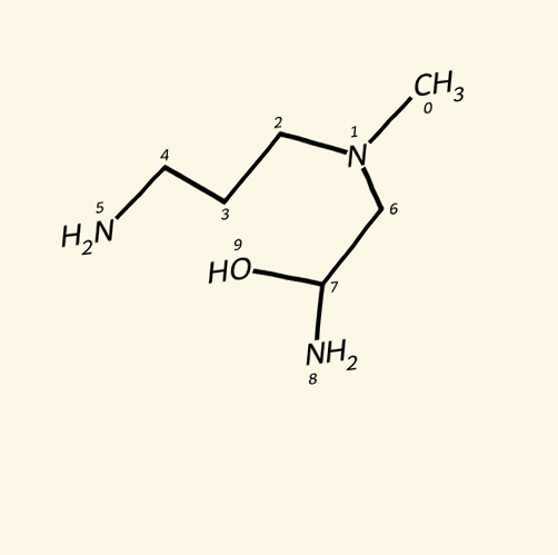 CN(CCCN)CC(N)O